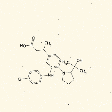 CC(CC(=O)O)c1ccc(N2CCCC2C(C)(C)O)c(Nc2ccc(Cl)cc2)c1